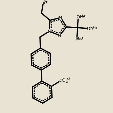 CCCCC(OC)(OC)c1nc(CC(C)C)n(Cc2ccc(-c3ccccc3C(=O)O)cc2)n1